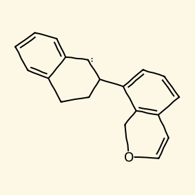 [C]1c2ccccc2CCC1c1cccc2c1COC=C2